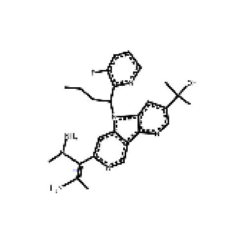 CCCC(c1ncccc1F)n1c2cc(/C(=C(\C)N)N(C)N)ncc2c2ncc(C(C)(C)O)cc21